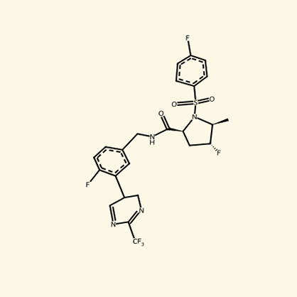 C[C@H]1[C@H](F)C[C@@H](C(=O)NCc2ccc(F)c(C3C=NC(C(F)(F)F)=NC3)c2)N1S(=O)(=O)c1ccc(F)cc1